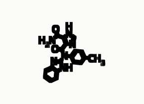 Cc1ccc(N(C(=O)c2nc[nH]c2C(N)=O)c2nc3ccccc3[nH]2)cc1